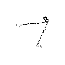 CCCCCCCCCCCCCCCCCc1ccc2ccccc2c1CCCCCCCCCCCCCCCCC